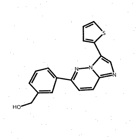 OCc1cccc(-c2ccc3ncc(-c4cccs4)n3n2)c1